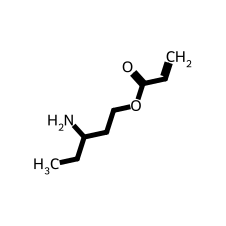 C=CC(=O)OCCC(N)CC